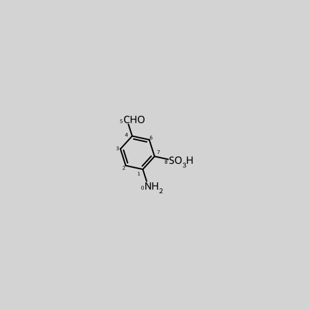 Nc1ccc(C=O)cc1S(=O)(=O)O